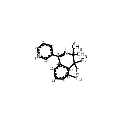 CC1(C)N=C(c2cccnc2)c2cccc(F)c2C1(F)F